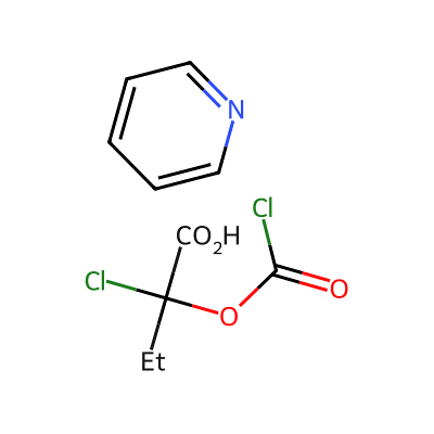 CCC(Cl)(OC(=O)Cl)C(=O)O.c1ccncc1